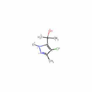 CCn1nc(C)c(Cl)c1C(C)(C)O